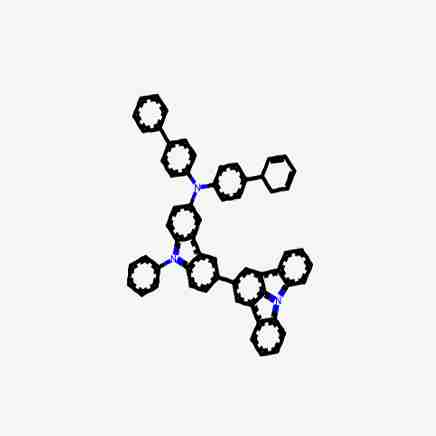 C1=CCC(c2ccc(N(c3ccc(-c4ccccc4)cc3)c3ccc4c(c3)c3cc(-c5cc6c7ccccc7n7c8ccccc8c(c5)c67)ccc3n4-c3ccccc3)cc2)C=C1